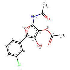 CC(=O)Nc1oc(-c2cccc(Cl)c2)c(O)c1OC(C)=O